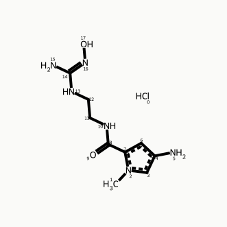 Cl.Cn1cc(N)cc1C(=O)NCCNC(N)=NO